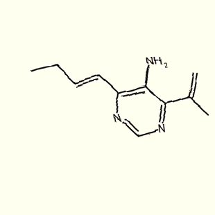 C=C(C)c1ncnc(/C=C/CC)c1N